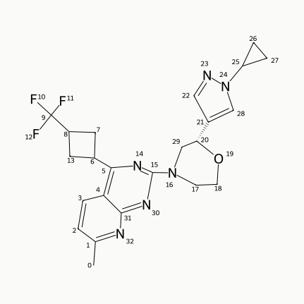 Cc1ccc2c(C3CC(C(F)(F)F)C3)nc(N3CCO[C@@H](c4cnn(C5CC5)c4)C3)nc2n1